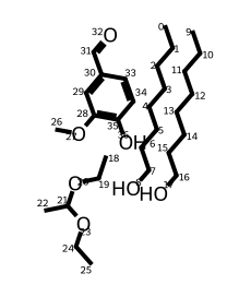 CCCCCCCCO.CCCCCCCCO.CCOC(C)OCC.COc1cc(C=O)ccc1O